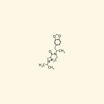 CCN(C(=O)C1CN(C(C)C)C1)C(C)Cc1ccc2c(c1)OCO2